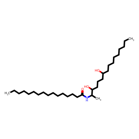 CCCCCCCCCCCCCCCC(=O)NC(C)C(O)CCCC(O)CCCCCCCCC